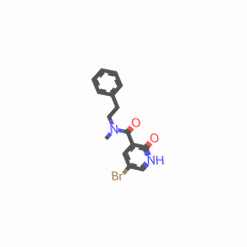 CN(CCc1ccccc1)C(=O)c1cc(Br)c[nH]c1=O